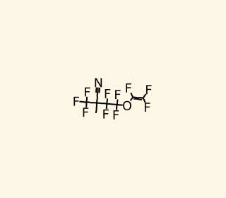 CC(C#N)(C(F)(F)F)C(F)(F)C(F)(F)OC(F)=C(F)F